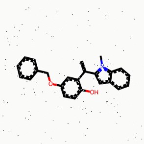 C=C(c1cc(OCc2ccccc2)ccc1O)c1cc2ccccc2n1C